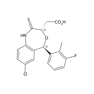 Cc1c(F)cccc1[C@@H]1O[C@@H](CC(=O)O)C(=S)Nc2ccc(Cl)cc21